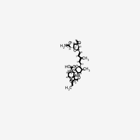 C/C=C/C(C=O)C1(N[C@@H]2C[C@H](C)[C@H](C/C=C(C)/C=C/[C@@H]3C[C@]4(CO4)C[C@@H](CC(N)=O)O3)O[C@@H]2C)CN(C(=O)O)CCN1C